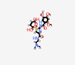 COc1cc(OC)c(C(=O)Nc2nc(C(=O)NCCN(C)C)cs2)cc1OC.O=C(O)/C=C\C(=O)O